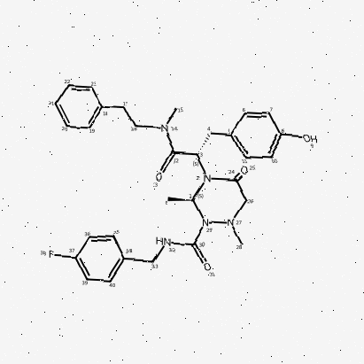 C[C@H]1N([C@@H](Cc2ccc(O)cc2)C(=O)N(C)CCc2ccccc2)C(=O)CN(C)N1C(=O)NCc1ccc(F)cc1